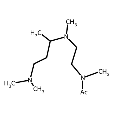 CC(=O)N(C)CCN(C)C(C)CCN(C)C